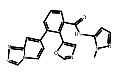 Cn1nccc1NC(=O)c1cccc(-c2ccn3cnnc3c2)c1-c1cnco1